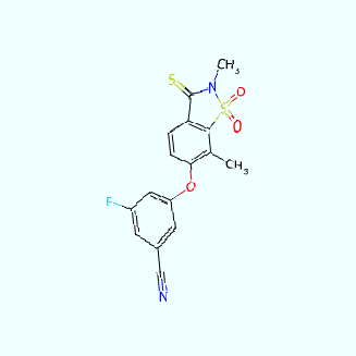 Cc1c(Oc2cc(F)cc(C#N)c2)ccc2c1S(=O)(=O)N(C)C2=S